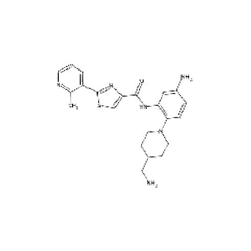 Cc1ncccc1-c1nc(C(=O)Nc2cc(N)ccc2N2CCC(CN)CC2)cs1